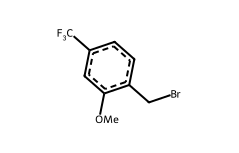 COc1cc(C(F)(F)F)ccc1CBr